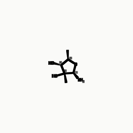 B[C@@H]1O[C@H](C)[C@@H](O)[C@@]1(C)O